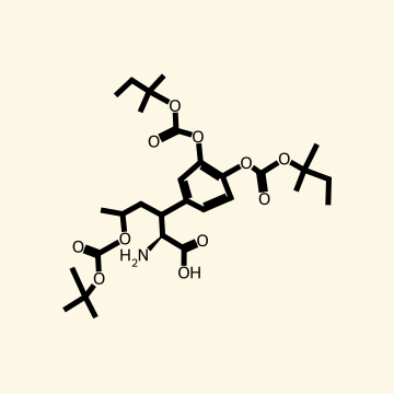 CCC(C)(C)OC(=O)Oc1ccc(C(CC(C)OC(=O)OC(C)(C)C)[C@H](N)C(=O)O)cc1OC(=O)OC(C)(C)CC